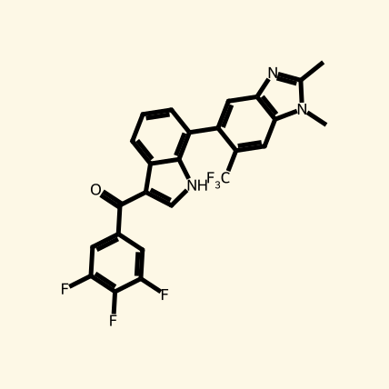 Cc1nc2cc(-c3cccc4c(C(=O)c5cc(F)c(F)c(F)c5)c[nH]c34)c(C(F)(F)F)cc2n1C